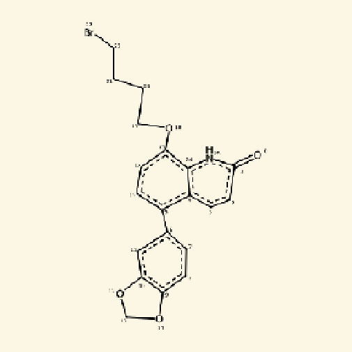 O=c1ccc2c(-c3ccc4c(c3)OCO4)ccc(OCCCCBr)c2[nH]1